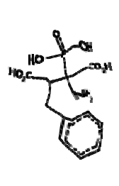 NC(C(=O)O)(C(Cc1ccccc1)C(=O)O)P(=O)(O)O